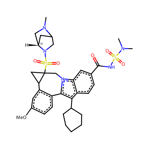 COc1ccc2c(c1)C1CC1(S(=O)(=O)N1CC3C[C@H]1CN3C)Cn1c-2c(C2CCCCC2)c2ccc(C(=O)NS(=O)(=O)N(C)C)cc21